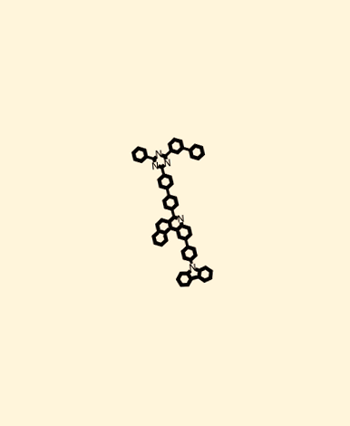 c1ccc(-c2cccc(-c3nc(-c4ccccc4)nc(-c4ccc(-c5ccc(-c6nc7ccc(-c8ccc(-n9c%10ccccc%10c%10ccccc%109)cc8)cc7c7c6ccc6ccccc67)cc5)cc4)n3)c2)cc1